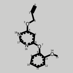 C#CCOc1cc(Oc2ccccc2OC)ncn1